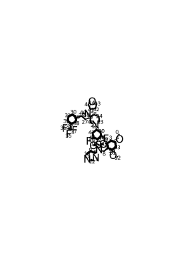 COc1ccc(CN(c2ccncn2)S(=O)(=O)c2c(F)cc(N3CCC[C@@](CCc4cccc(C(F)(F)F)c4)(N(C)[C@H]4CCOC4)C3)cc2F)c(OC)c1